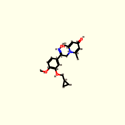 COc1ccc(/C(Cn2c(C)cc(=O)cc2C)=N/O)cc1OCC1CC1